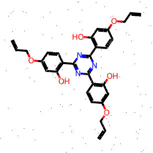 C=CCOc1ccc(-c2nc(-c3ccc(OCC=C)cc3O)nc(-c3ccc(OCC=C)cc3O)n2)c(O)c1